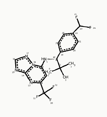 CC(C)(O)[C@H](Nc1cc(C(F)(F)F)nc2ncnn12)c1ccc(C(F)F)cc1